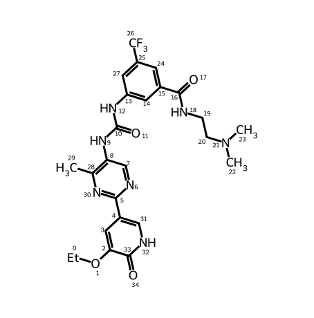 CCOc1cc(-c2ncc(NC(=O)Nc3cc(C(=O)NCCN(C)C)cc(C(F)(F)F)c3)c(C)n2)c[nH]c1=O